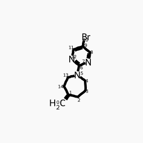 C=C1CCCN(c2ncc(Br)cn2)CC1